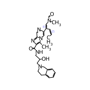 C/C=C\C(=C/N(C)C=O)c1cn2c(C)c(C(=O)NCC(O)CN3CCc4ccccc4C3)nc2cn1